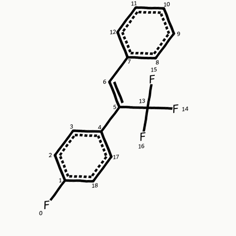 Fc1ccc(/C(=C/c2ccccc2)C(F)(F)F)cc1